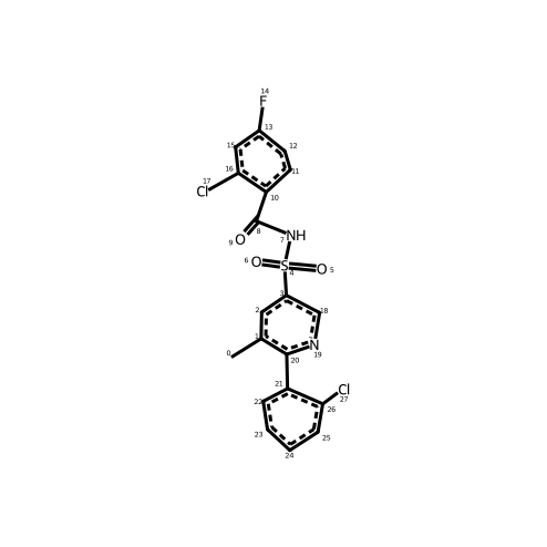 Cc1cc(S(=O)(=O)NC(=O)c2ccc(F)cc2Cl)cnc1-c1ccccc1Cl